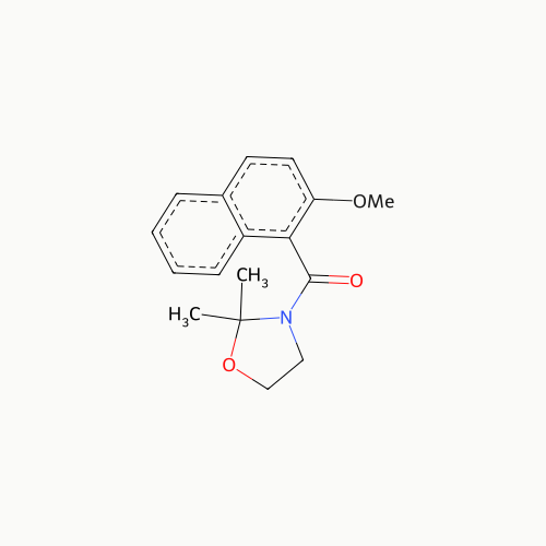 COc1ccc2ccccc2c1C(=O)N1CCOC1(C)C